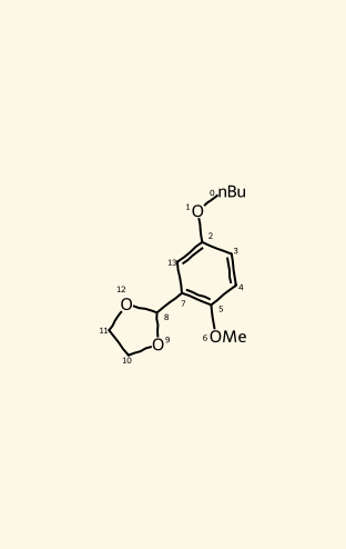 CCCCOc1ccc(OC)c(C2OCCO2)c1